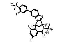 [2H]C([2H])([2H])N1C(=O)c2cc(F)cc(F)c2[C@H]2C[C@@H]1c1nc3ccc(-c4ccc(P(C)(C)=O)c(F)c4)cc3n12